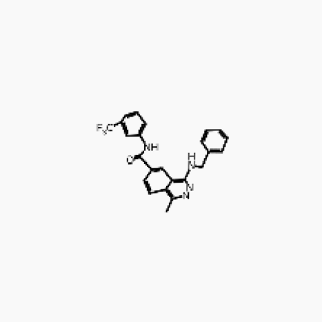 Cc1nnc(NCc2ccccc2)c2cc(C(=O)Nc3cccc(C(F)(F)F)c3)ccc12